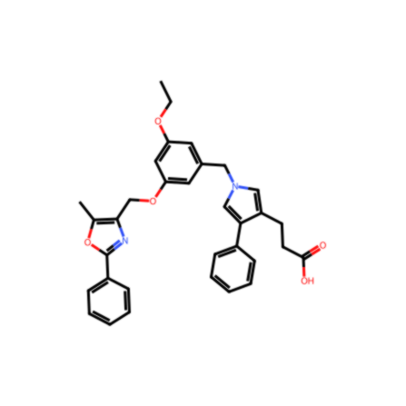 CCOc1cc(Cn2cc(CCC(=O)O)c(-c3ccccc3)c2)cc(OCc2nc(-c3ccccc3)oc2C)c1